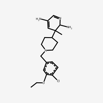 CCOc1cc(CN2CCC(C3(C)C=C(N)C=NC3N)CC2)ccc1Cl